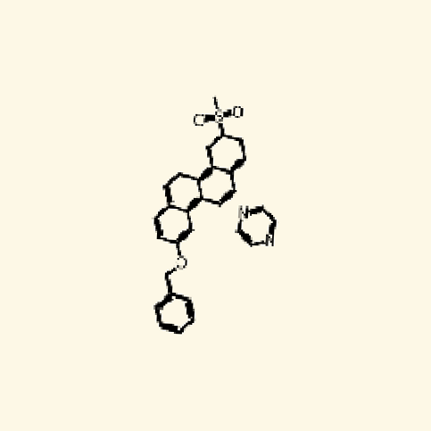 CS(=O)(=O)C1CC=c2ccc3c(c2C1)CC=c1ccc(OCc2ccccc2)cc1=3.c1cnccn1